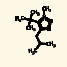 CC(C)Cc1nnn(C)c1C(C)(C)C